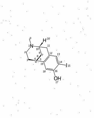 CN1CC[C@]23CCCCC2[C@H]1Cc1cc(I)c(O)cc13